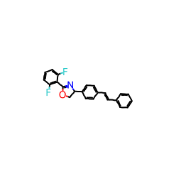 Fc1cccc(F)c1C1=NC(c2ccc(C=Cc3ccccc3)cc2)CO1